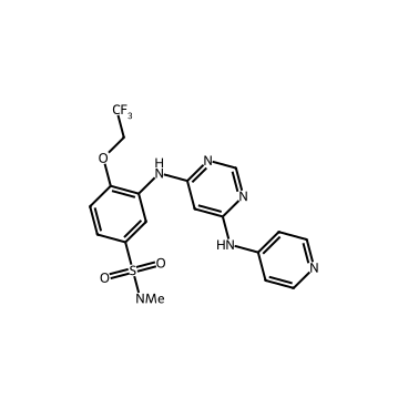 CNS(=O)(=O)c1ccc(OCC(F)(F)F)c(Nc2cc(Nc3ccncc3)ncn2)c1